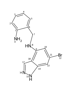 Nc1ccccc1CNc1cc(Br)cc2[nH]ncc12